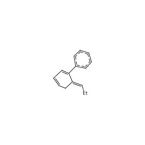 CCC=C1CC=CC=C1c1ccccc1